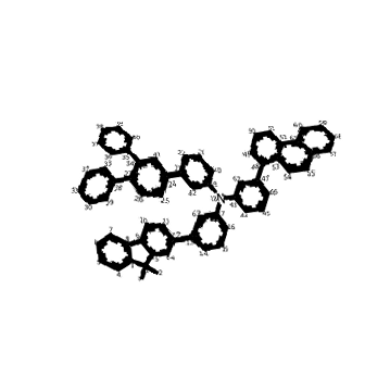 CC1(C)c2ccccc2-c2ccc(-c3cccc(N(c4cccc(-c5ccc(-c6ccccc6)c(-c6ccccc6)c5)c4)c4cccc(-c5cccc6c5ccc5ccccc56)c4)c3)cc21